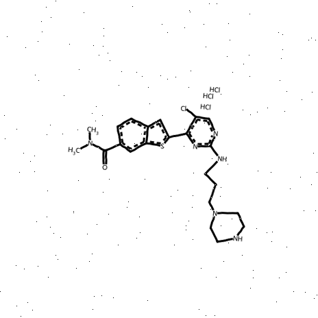 CN(C)C(=O)c1ccc2cc(-c3nc(NCCCN4CCNCC4)ncc3Cl)sc2c1.Cl.Cl.Cl